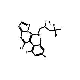 CC(CNc1c(-c2c(F)cc(F)cc2F)c(Cl)nc2ncnn12)CC(F)(F)F